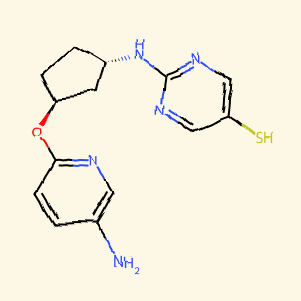 Nc1ccc(O[C@H]2CC[C@H](Nc3ncc(S)cn3)C2)nc1